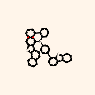 c1ccc(-c2ccccc2N(c2ccc(-c3cccc4c3oc3ccccc34)cc2)c2cccc3oc4c5ccccc5ccc4c23)cc1